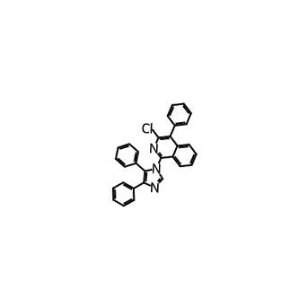 Clc1nc(-n2cnc(-c3ccccc3)c2-c2ccccc2)c2ccccc2c1-c1ccccc1